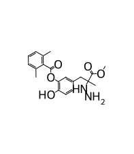 COC(=O)C(C)(Cc1ccc(O)c(OC(=O)c2c(C)cccc2C)c1)NN